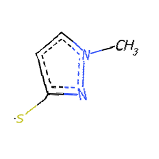 Cn1ccc([S])n1